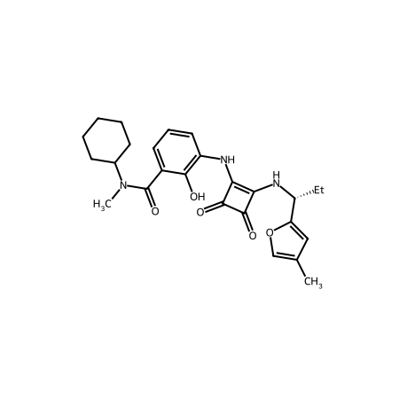 CC[C@@H](Nc1c(Nc2cccc(C(=O)N(C)C3CCCCC3)c2O)c(=O)c1=O)c1cc(C)co1